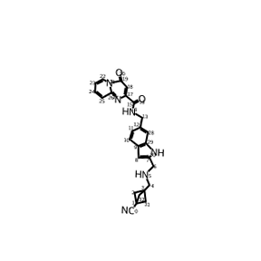 N#CC12CC(CNCc3cc4ccc(CNC(=O)c5cc(=O)n6ccccc6n5)cc4[nH]3)(C1)C2